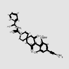 CC#Cc1cc(Cl)c(C2C(=O)CC3(CCN(C(=O)NC(=O)c4ccccn4)CC3)CC2=O)c(OC)c1